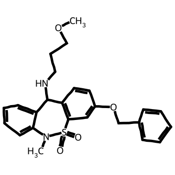 COCCCNC1c2ccccc2N(C)S(=O)(=O)c2cc(OCc3ccccc3)ccc21